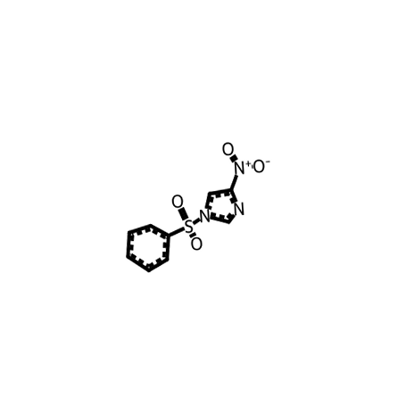 O=[N+]([O-])c1cn(S(=O)(=O)c2ccccc2)cn1